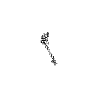 CN1C(=O)CCC(N2C(=O)c3cccc(NCCOCCOCCOCCOCCC(=O)OC(C)(C)C)c3C2=O)C1=O